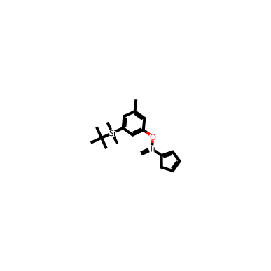 [CH2]=[Ti]([O]c1cc(C)cc([Si](C)(C)C(C)(C)C)c1)[C]1=CC=CC1